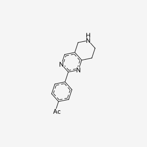 CC(=O)c1ccc(-c2ncc3c(n2)CCNC3)cc1